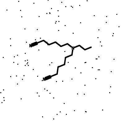 CCCN(CCCCCC#N)CCCCCC#N